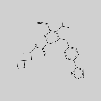 CNc1c(Cc2ccc(-c3cscn3)cc2)cc(C(=O)NC2CC3(COC3)C2)nc1C=N